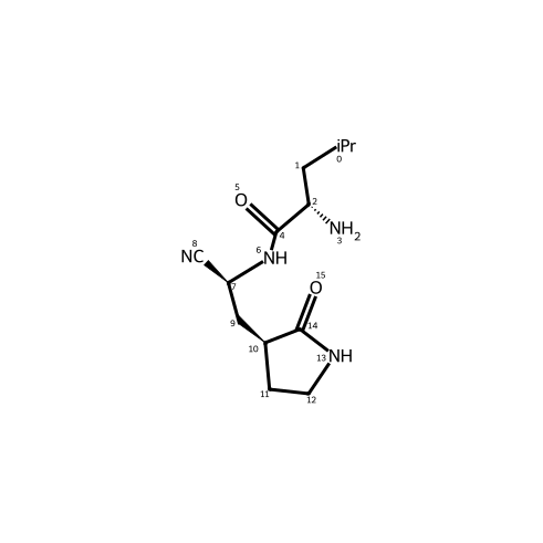 CC(C)C[C@H](N)C(=O)N[C@H](C#N)C[C@@H]1CCNC1=O